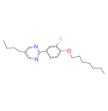 CCCCCCCOc1ccc(-c2ncc(CCCC)cn2)cc1F